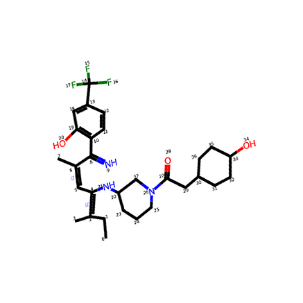 CC/C(C)=C(/C=C(/C)C(=N)c1ccc(C(F)(F)F)cc1O)NC1CCCN(C(=O)CC2CCC(O)CC2)C1